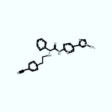 Cn1cnc(-c2ccc(NC(=O)[C@H](NCCc3ccc(C#N)cc3)c3ccccc3)nc2)c1